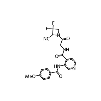 COc1ccc(C(=O)Nc2cnccc2C(=O)NCC(=O)N2CC(F)(F)C2C#N)cc1